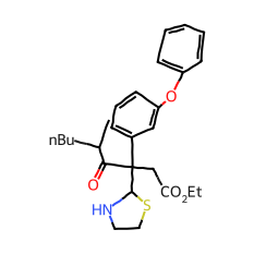 CCCCC(C)C(=O)C(CC(=O)OCC)(c1cccc(Oc2ccccc2)c1)C1NCCS1